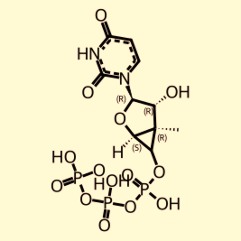 C[C@]12C(OP(=O)(O)OP(=O)(O)OP(=O)(O)O)[C@H]1O[C@@H](n1ccc(=O)[nH]c1=O)[C@@H]2O